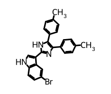 Cc1ccc(-c2nc(-c3c[nH]c4ccc(Br)cc34)[nH]c2-c2ccc(C)cc2)cc1